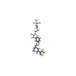 CC(CC=CC#CC(C)(C)C)Cc1cccc(OCc2cccc(-c3ccsc3)c2)c1